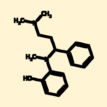 CN(C)CCC(c1ccccc1)N(C)c1ccccc1O